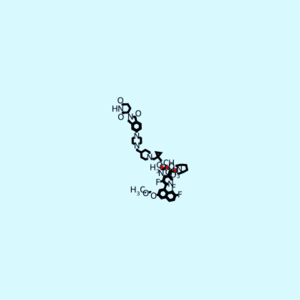 COCOc1cc(-c2ncc3c(N4CC5CCC(C4)N5C(=O)OC(C)(C)C)nc(OCC4(CN5CCC(CN6CCN(c7ccc8c(c7)CN([C@H]7CCC(=O)NC7=O)C8=O)CC6)CC5)CC4)nc3c2F)c2c(F)c(F)ccc2c1